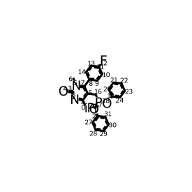 CC(C)c1nc(=O)n(C)c(-c2ccc(F)cc2)c1CP(Oc1ccccc1)Oc1ccccc1